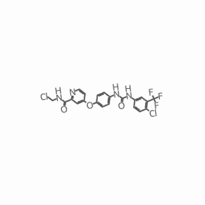 O=C(Nc1ccc(Oc2ccnc(C(=O)NCCl)c2)cc1)Nc1ccc(Cl)c(C(F)(F)F)c1